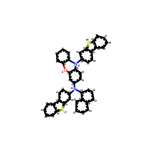 c1ccc2c(c1)Oc1cc(N(c3ccc4c(c3)sc3ccccc34)c3cccc4ccccc34)ccc1N2c1ccc2c(c1)sc1ccccc12